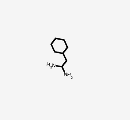 NC(N)CC1CCCCC1